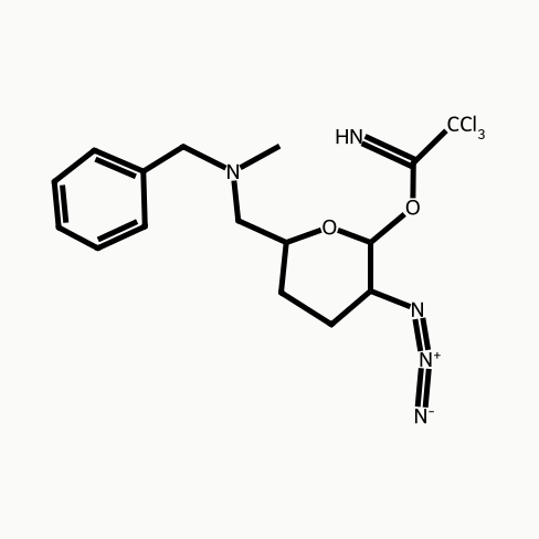 CN(Cc1ccccc1)CC1CCC(N=[N+]=[N-])C(OC(=N)C(Cl)(Cl)Cl)O1